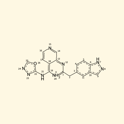 C=C(Cc1ccc2[nH]ncc2c1)/N=C1/C=NC=C/C1=C(/N)Nc1nnco1